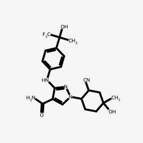 CC1(O)CCC(n2cc(C(N)=O)c(Nc3ccc(C(C)(O)C(F)(F)F)cc3)n2)C(C#N)C1